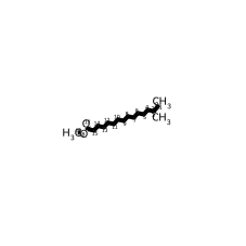 CCC(C)CCCCCCCCCCCCC(=O)OC